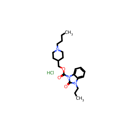 CCCCN1CCC(COC(=O)n2c(=O)n(CCC)c3ccccc32)CC1.Cl